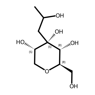 CC(O)C[C@@]1(O)[C@H](O)[C@@H](CO)OC[C@@H]1O